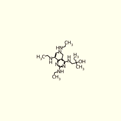 CCNC1=CN(NCC)Cc2c(NCC(C)(C)O)nc(NCC)nc21